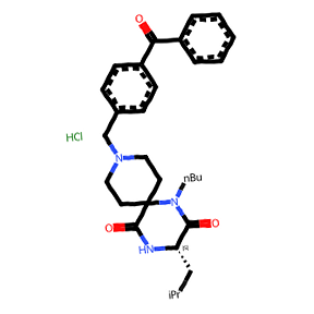 CCCCN1C(=O)[C@H](CC(C)C)NC(=O)C12CCN(Cc1ccc(C(=O)c3ccccc3)cc1)CC2.Cl